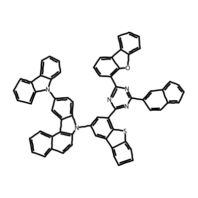 c1ccc2cc(-c3nc(-c4cccc5c4oc4ccccc45)nc(-c4cc(-n5c6ccc(-n7c8ccccc8c8ccccc87)cc6c6c7ccccc7ccc65)cc5c4sc4ccccc45)n3)ccc2c1